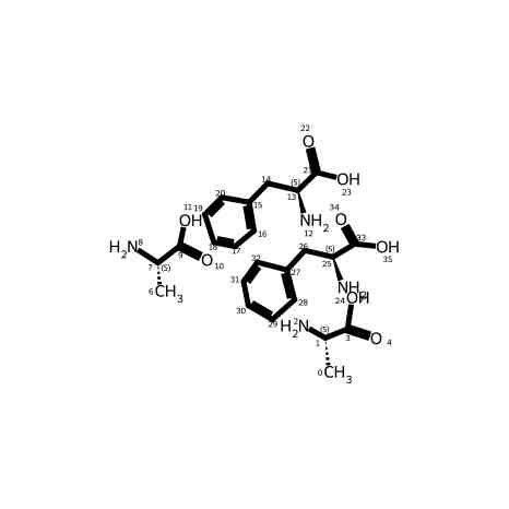 C[C@H](N)C(=O)O.C[C@H](N)C(=O)O.N[C@@H](Cc1ccccc1)C(=O)O.N[C@@H](Cc1ccccc1)C(=O)O